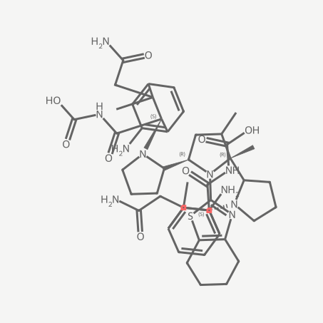 CC1C[C@H](C2CCCN2[C@]2(C(=O)NC(=O)O)c3ccc(cc3N)C2(C)CC(N)=O)N(c2nc3c(s2)CCCC3)[C@@]1(C)C1CCCN1[C@]1(C(=O)NC(=O)O)c2ccc(cc2N)C1(C)CC(N)=O